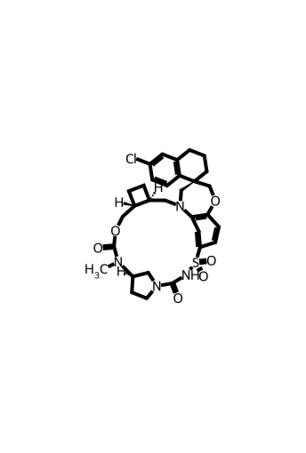 CN1C(=O)OC[C@@H]2CC[C@H]2CN2C[C@@]3(CCCc4cc(Cl)ccc43)COc3ccc(cc32)S(=O)(=O)NC(=O)N2CC[C@@H]1C2